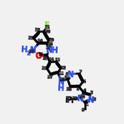 Cc1ncc(-c2ccnc(Nc3ccc(C(=O)Nc4cc(F)ccc4N)cc3)c2)n1C(C)C